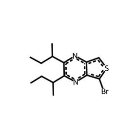 CCC(C)c1nc2csc(Br)c2nc1C(C)CC